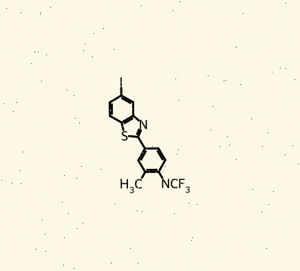 Cc1cc(-c2nc3cc(I)ccc3s2)ccc1NC(F)(F)F